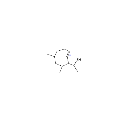 CC1CC/C=C/C(C(C)S)C(C)C1